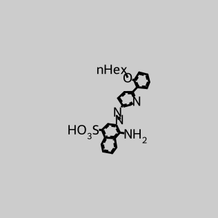 CCCCCCOc1ccccc1-c1ccc(/N=N/c2cc(S(=O)(=O)O)c3ccccc3c2N)cn1